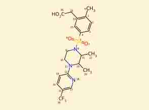 Cc1ccc(S(=O)(=O)N2CCN(c3ccc(C(F)(F)F)cn3)C(C)C2C)cc1CC(=O)O